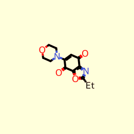 CCc1nc2c(o1)C(=O)C(N1CCOCC1)=CC2=O